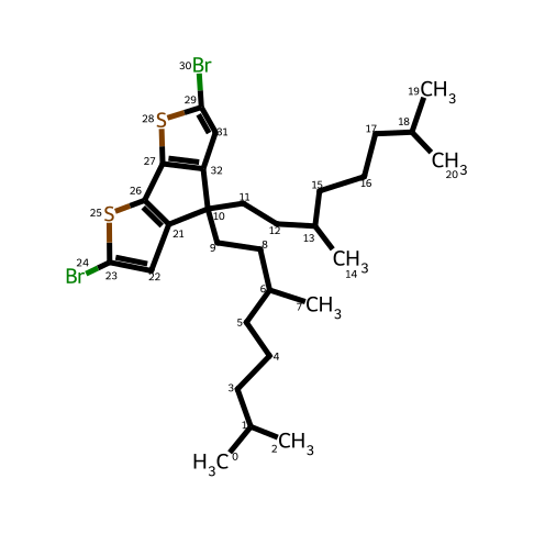 CC(C)CCCC(C)CCC1(CCC(C)CCCC(C)C)c2cc(Br)sc2-c2sc(Br)cc21